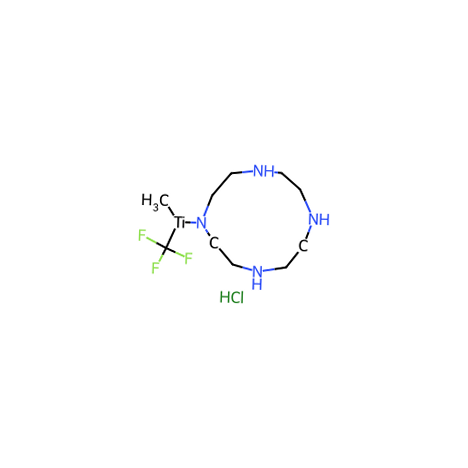 Cl.[CH3][Ti]([N]1CCNCCNCCNCC1)[C](F)(F)F